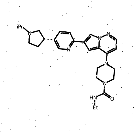 CCNC(=O)N1CCN(c2ccnn3cc(-c4ccc([C@@H]5CCN(C(C)C)C5)cn4)cc23)CC1